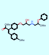 COC(=O)C(=Cc1ccc(SC)cc1)c1ccc(OCC(O)CNCC(OC)Oc2ccccc2)cc1